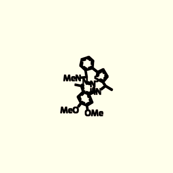 CNCc1ccccc1-c1ccc(C(C)Nc2nnc(C)c3cc(OC)c(OC)cc23)s1